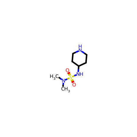 CN(C)S(=O)(=O)NC1CCNCC1